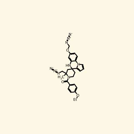 CCOc1ccc(C(=O)N2CCC3(CC2(C)CN=[N+]=[N-])Nc2cc(OCN=[N+]=[N-])ccc2-n2cccc23)cc1